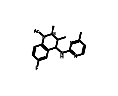 CC(=O)N1c2ccc(F)cc2C(Nc2nccc(C)n2)C(C)[C@@H]1C